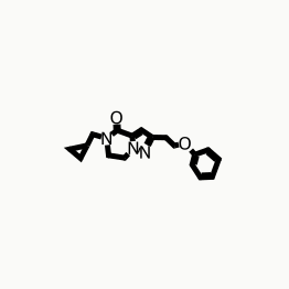 O=C1c2cc(CCOc3ccccc3)nn2CCN1CC1CC1